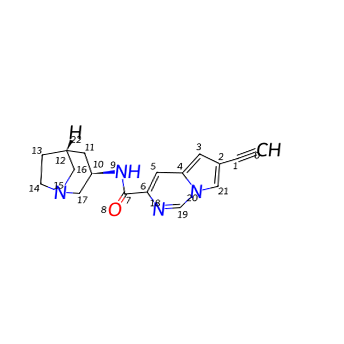 C#Cc1cc2cc(C(=O)N[C@@H]3C[C@H]4CCN(C4)C3)ncn2c1